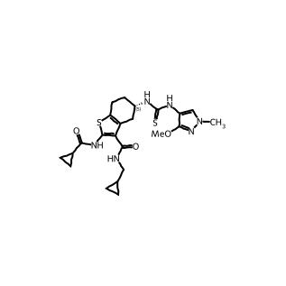 COc1nn(C)cc1NC(=S)N[C@H]1CCc2sc(NC(=O)C3CC3)c(C(=O)NCC3CC3)c2C1